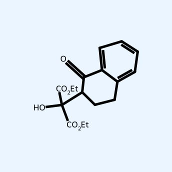 CCOC(=O)C(O)(C(=O)OCC)C1CCc2ccccc2C1=O